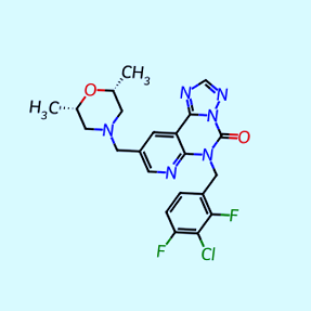 C[C@@H]1CN(Cc2cnc3c(c2)c2ncnn2c(=O)n3Cc2ccc(F)c(Cl)c2F)C[C@H](C)O1